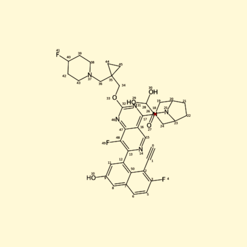 C#Cc1c(F)ccc2cc(O)cc(-c3ncc4c(N5CC6CCC(C5)N6C(=O)C(O)O)nc(OCC5(CN6CCC(F)CC6)CC5)nc4c3F)c12